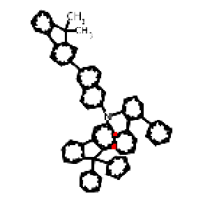 CC1(C)c2ccccc2-c2ccc(-c3ccc4cc(N(c5ccc6c(c5)-c5ccccc5C6(c5ccccc5)c5ccccc5)c5cccc(-c6ccccc6)c5-c5ccccc5)ccc4c3)cc21